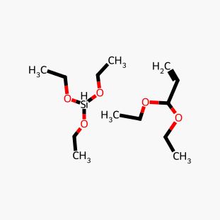 C=CC(OCC)OCC.CCO[SiH](OCC)OCC